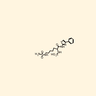 NS(=O)(=O)NCCCCCC(NC(=O)O)C(=O)Nc1nc(-c2ccccc2)cs1